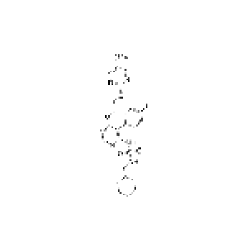 CSc1cnc(OCCOc2ncnc(NS(=O)(=O)NCC3CCCCC3)c2-c2ccc(Cl)cc2)nc1